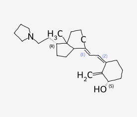 C=C1/C(=C\C=C2/CCCC3(C)C2CC[C@@H]3CCN2CCCC2)CCC[C@@H]1O